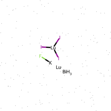 [BiH3].[F][K].[I][Lu]([I])[I].[Lu]